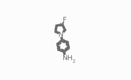 Nc1ccc(N2CC[C@@H](F)C2)cc1